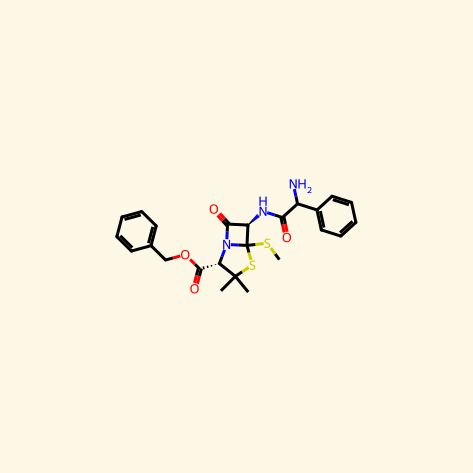 CSC12SC(C)(C)[C@H](C(=O)OCc3ccccc3)N1C(=O)[C@H]2NC(=O)C(N)c1ccccc1